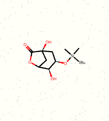 CC(C)(C)[Si](C)(C)O[C@@H]1C[C@]2(O)CC(OC2=O)[C@@H]1O